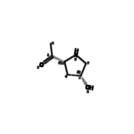 CC(=O)[C@H]1C[C@@H](O)CN1